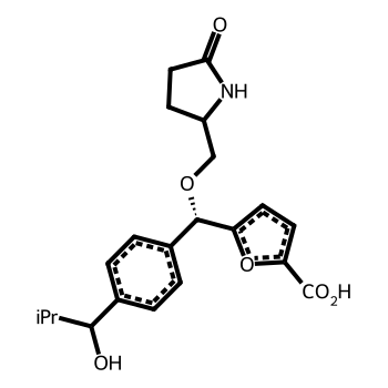 CC(C)C(O)c1ccc([C@H](OCC2CCC(=O)N2)c2ccc(C(=O)O)o2)cc1